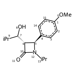 COc1ccc([C@@H]2[C@@H](C(O)C(C)C)C(=O)N2C(C)C)cc1